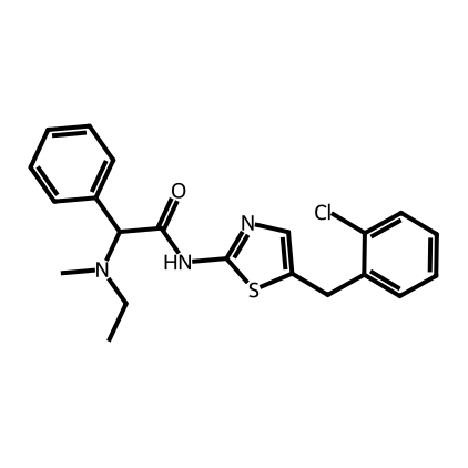 CCN(C)C(C(=O)Nc1ncc(Cc2ccccc2Cl)s1)c1ccccc1